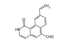 C=Cc1ccc2c(C=O)cc3cc[nH]c(=O)c3c2c1